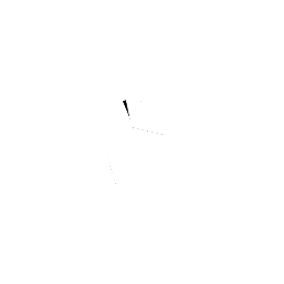 CC(C)C[C@H](Cl)C(=O)O